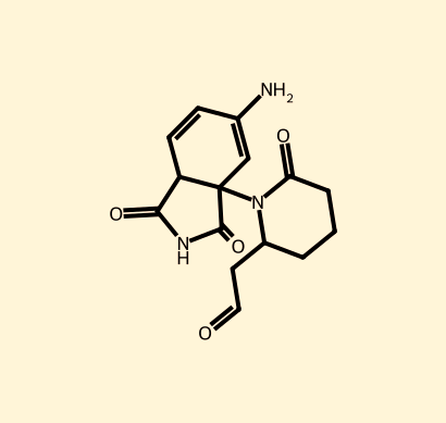 NC1=CC2(N3C(=O)CCCC3CC=O)C(=O)NC(=O)C2C=C1